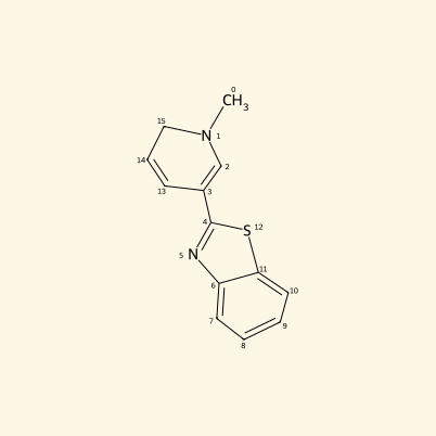 CN1C=C(c2nc3ccccc3s2)C=CC1